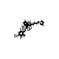 O=C(NCCCCN1CCCC1)[C@H]1[C@H](C(=O)NCc2ccc(Br)c(F)c2F)[C@@H]2C=C[C@H]1C21CC1